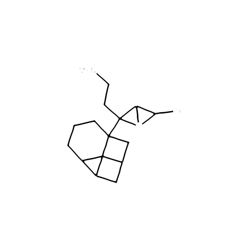 CCC1B2C1C2(CCNC)C12CCCC3C4CC(C1)C342